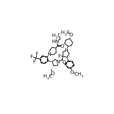 CCNC(=O)C1CCN(c2cc(C(F)(F)F)ccc2[C@H]2CN(C(=O)[C@]3(F)CN([C@H]4CC[C@H](OC)CC4)C[C@H]3c3ccc(OC)cc3)C[C@@H]2COC)CC1